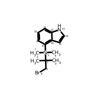 CC(C)(CBr)[Si](C)(C)c1cccc2[nH]ccc12